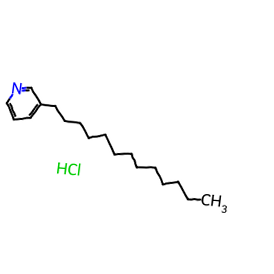 CCCCCCCCCCCCCc1cccnc1.Cl